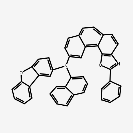 c1ccc(-c2nc3ccc4ccc5ccc(N(c6ccc7oc8ccccc8c7c6)c6cccc7ccccc67)cc5c4c3o2)cc1